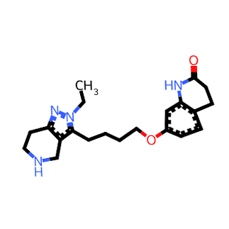 CCn1nc2c(c1CCCCOc1ccc3c(c1)NC(=O)CC3)CNCC2